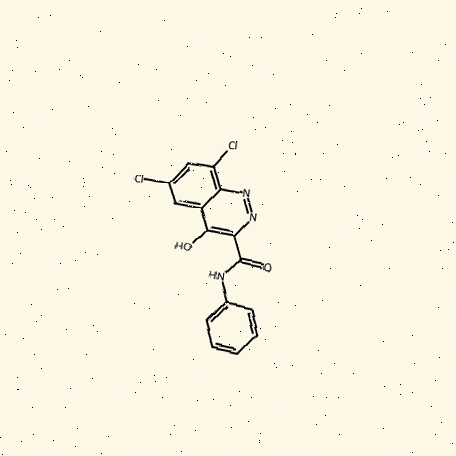 O=C(Nc1ccccc1)c1nnc2c(Cl)cc(Cl)cc2c1O